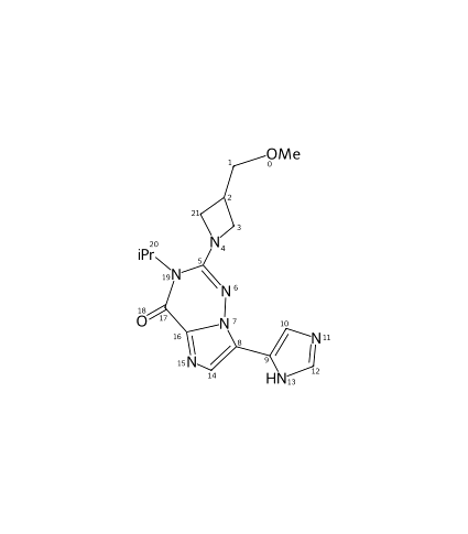 COCC1CN(c2nn3c(-c4cnc[nH]4)cnc3c(=O)n2C(C)C)C1